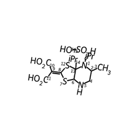 CC(C)N1C(C)CNC2SC(=C(C(=O)O)C(=O)O)SC21C(C)C.O=S(=O)(O)O